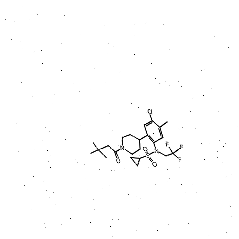 Cc1cc(N(CC(F)(F)F)S(=O)(=O)C2CC2)c(C2CCN(C(=O)CC(C)(C)C)CC2)cc1Cl